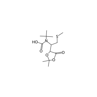 CSCC(C1OC(C)(C)OC1=O)N(C(=O)O)C(C)(C)C